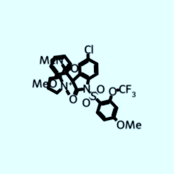 CNC(=O)[C@@H]1CCC[N+]1(C)C1(c2ccccc2OC)C(=O)N(S(=O)(=O)c2ccc(OC)cc2OC(F)(F)F)c2ccc(Cl)cc21